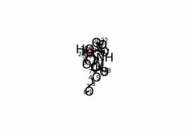 COCCCOc1cc2c(nc1OC)-c1[nH]c(=O)c(C(=O)OC)c(O)c1[C@@H](C(C)(C)C)CO2